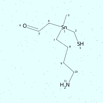 [CH3][Sn]([CH2]S)([CH2]C=O)[CH2]CCCN